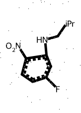 CC(C)CNc1cc(F)ccc1[N+](=O)[O-]